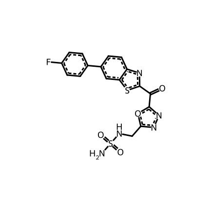 NS(=O)(=O)NCc1nnc(C(=O)c2nc3ccc(-c4ccc(F)cc4)cc3s2)o1